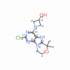 CC1(C)OCCn2c1nc1c(N3CC(O)C3)nc(Cl)nc12